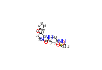 CC(C)(C)S(=O)(=O)NC1CCC(C(=O)Nc2cc(OC3CCCC3)ccn2)CC1